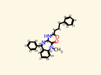 CN1C(=O)C(NC(=O)CCCc2ccccc2)N=C(c2ccccc2)c2ccccc21